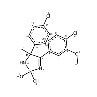 COc1cc(C2=NS(O)(O)NC2(C)c2ccc(Cl)nc2)ccc1Cl